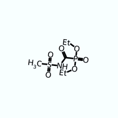 CCOP(=O)(OCC)C(=O)NS(C)(=O)=O